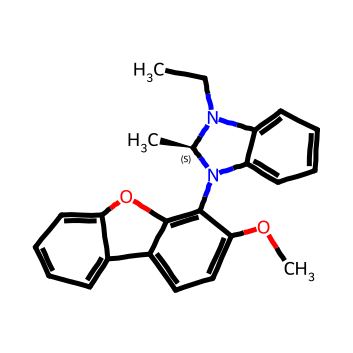 CCN1c2ccccc2N(c2c(OC)ccc3c2oc2ccccc23)[C@H]1C